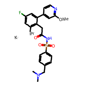 COc1cc(-c2cc(F)cc(C(C)C)c2CC(=O)NS(=O)(=O)c2ccc(CN(C)C)cc2)ccn1.[K]